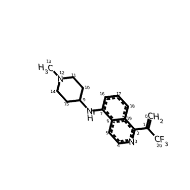 C=C(c1nccc2c(NC3CCN(C)CC3)cccc12)C(F)(F)F